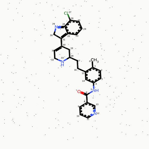 Cc1ccc(NC(=O)c2cccnc2)cc1CCC1CC(C2=c3cccc(Cl)c3=NC2)=CCN1